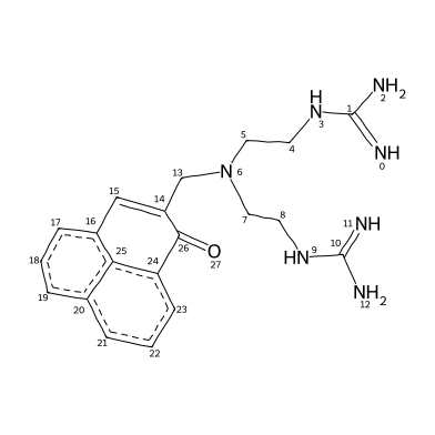 N=C(N)NCCN(CCNC(=N)N)CC1=Cc2cccc3cccc(c23)C1=O